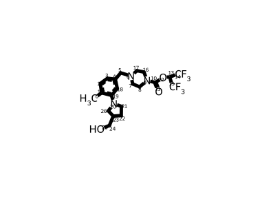 Cc1ccc(CN2CCN(C(=O)OC(C(F)(F)F)C(F)(F)F)CC2)cc1N1CCC(CO)C1